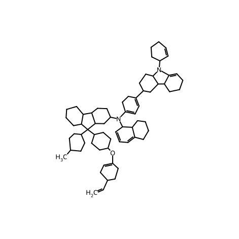 C=CC1CC=C(OC2CCC(C3(C4CCC(C)CC4)C4CCCCC4C4CCC(N(C5=CC=C(C6CCC7C(C6)C6CCCC=C6N7C6C=CCCC6)CC5)C5C=CC=C6CCCCC65)CC43)CC2)CC1